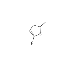 CC1CC=C(F)S1